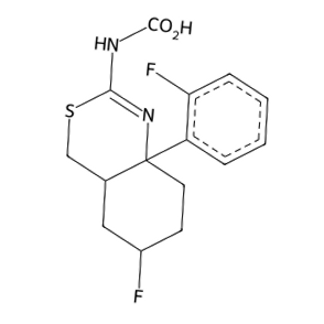 O=C(O)NC1=NC2(c3ccccc3F)CCC(F)CC2CS1